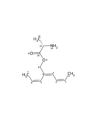 C\C=C/C=C(\C=C/C)COC(=O)[C@H](C)N